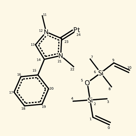 C=C[Si](C)(C)O[Si](C)(C)C=C.Cn1cc(-c2ccccc2)n(C)[c]1=[Pt]